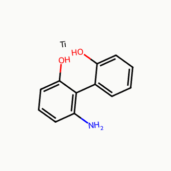 Nc1cccc(O)c1-c1ccccc1O.[Ti]